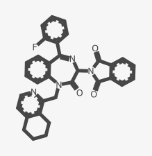 O=C1C(N2C(=O)c3ccccc3C2=O)N=C(c2ccccc2F)c2ccccc2N1Cc1nccc2c1CCCC2